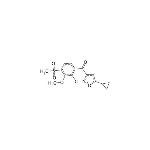 COc1c(S(C)(=O)=O)ccc(C(=O)c2cc(C3CC3)on2)c1Cl